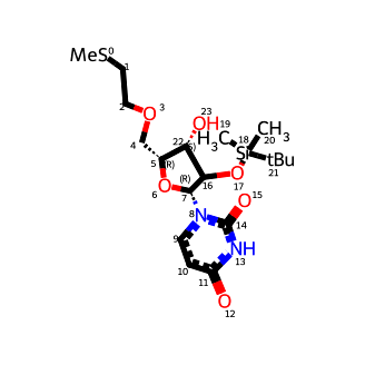 CSCCOC[C@H]1O[C@@H](n2ccc(=O)[nH]c2=O)C(O[Si](C)(C)C(C)(C)C)[C@H]1O